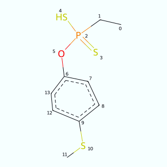 CCP(=S)(S)Oc1ccc(SC)cc1